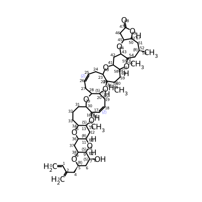 C=CC(=C)C[C@@H]1C[C@H](O)[C@@H]2O[C@@H]3C[C@]4(C)O[C@@H]5/C=C\C[C@@H]6O[C@H]7C(C/C=C\CC6OC5CCCC4OC3CC2O1)OC1CC2OC3CC(=O)O[C@H]3C[C@@H](C)C[C@@]2(C)O[C@H]1C[C@@H]7C